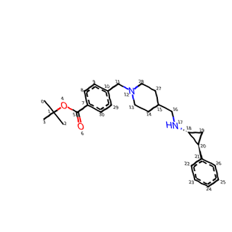 CC(C)(C)OC(=O)c1ccc(CN2CCC(CN[C@@H]3C[C@H]3c3ccccc3)CC2)cc1